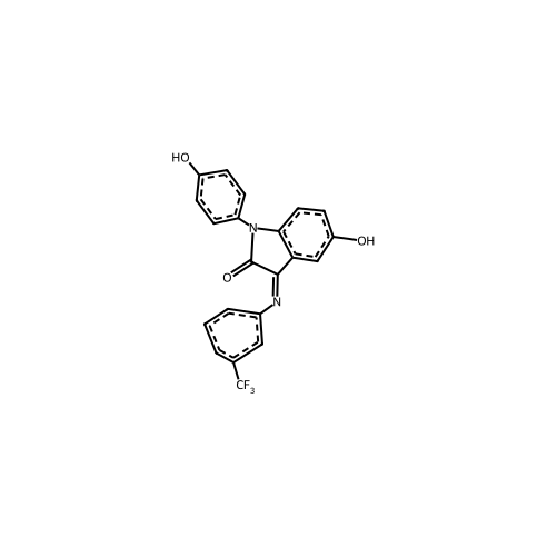 O=C1C(=Nc2cccc(C(F)(F)F)c2)c2cc(O)ccc2N1c1ccc(O)cc1